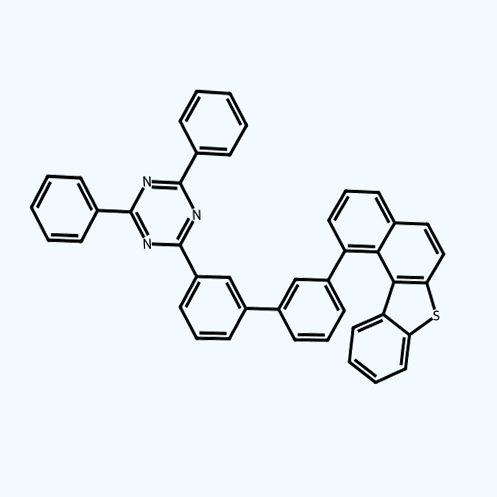 c1ccc(-c2nc(-c3ccccc3)nc(-c3cccc(-c4cccc(-c5cccc6ccc7sc8ccccc8c7c56)c4)c3)n2)cc1